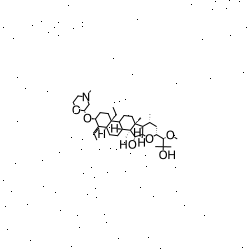 C/C=C1/[C@@H](O[C@H]2CN(C)CCO2)CC[C@]2(CC)C3CC[C@]4(C)[C@@H]5[C@H](O[C@@H]([C@H](OC)C(C)(C)O)C[C@H]5C)[C@H](O)[C@@]4(C)[C@@H]3CC[C@@H]12